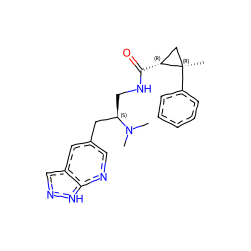 CN(C)[C@H](CNC(=O)[C@@H]1C[C@@]1(C)c1ccccc1)Cc1cnc2[nH]ncc2c1